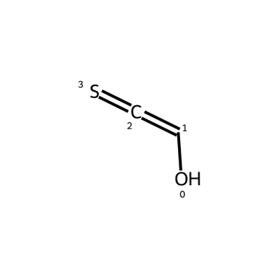 OC=C=S